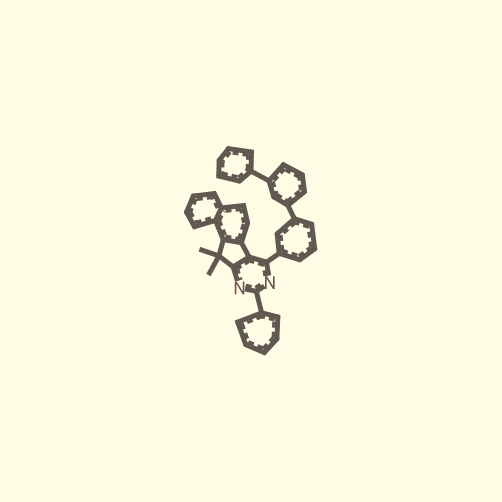 CC1(C)c2nc(-c3ccccc3)nc(-c3cccc(-c4cccc(-c5ccccc5)c4)c3)c2-c2ccc3ccccc3c21